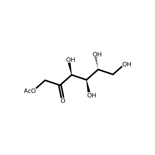 CC(=O)OCC(=O)[C@@H](O)[C@H](O)[C@H](O)CO